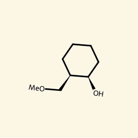 COC[C@H]1CCCC[C@H]1O